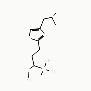 C[N+](C)(C)C(CCc1nc(C[C@H](N)C(=O)O)c[nH]1)NC=O